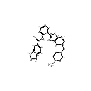 CN1CCN(Cc2cnc3sc(-c4ccccc4NC(=O)c4ccc5ncsc5c4)nc3c2)CC1